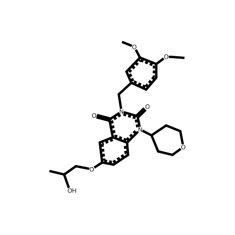 COc1ccc(Cn2c(=O)c3cc(OCC(C)O)ccc3n(C3CCOCC3)c2=O)cc1OC